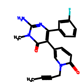 CC#CCn1cc(-c2c(-c3cccc(F)c3)nc(N)n(C)c2=O)ccc1=O